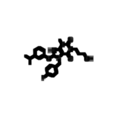 CC(C)c1cccc(OC2Nc3c(c(=O)n(CCCO)c(=O)n3C)N2Cc2ccc(F)cc2)c1